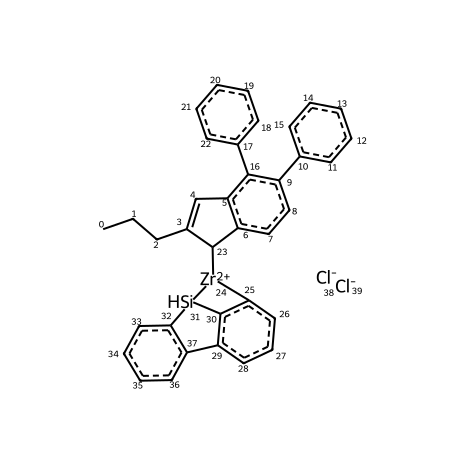 CCCC1=Cc2c(ccc(-c3ccccc3)c2-c2ccccc2)[CH]1[Zr+2]1[c]2cccc3c2[SiH]1c1ccccc1-3.[Cl-].[Cl-]